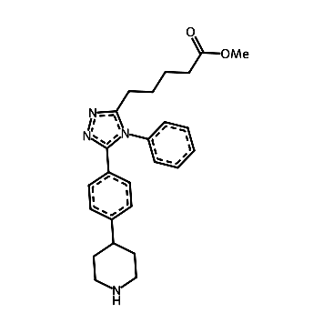 COC(=O)CCCCc1nnc(-c2ccc(C3CCNCC3)cc2)n1-c1ccccc1